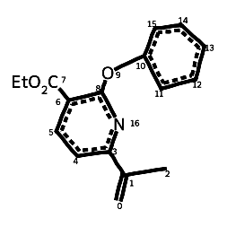 C=C(C)c1ccc(C(=O)OCC)c(Oc2ccccc2)n1